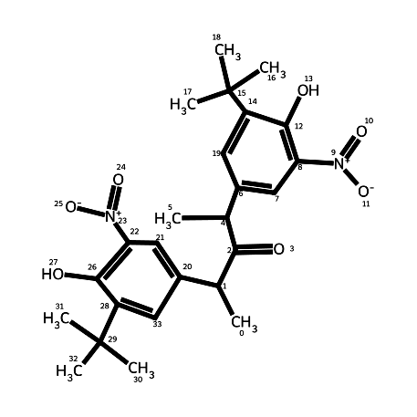 CC(C(=O)C(C)c1cc([N+](=O)[O-])c(O)c(C(C)(C)C)c1)c1cc([N+](=O)[O-])c(O)c(C(C)(C)C)c1